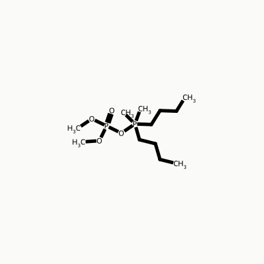 CCCCP(C)(C)(CCCC)OP(=O)(OC)OC